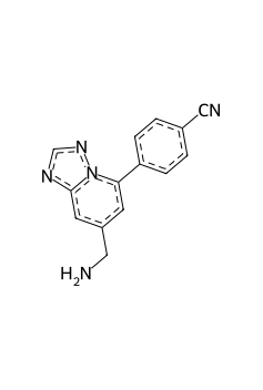 N#Cc1ccc(-c2cc(CN)cc3ncnn23)cc1